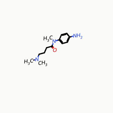 CN(C)CCCC(=O)N(C)c1ccc(N)cc1